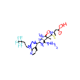 C[C@]1(c2nc(CC(=O)O)cs2)C(=O)Nc2nc(-c3nn(CCC(F)(F)C(F)(F)F)c4ncccc34)nc(N)c21